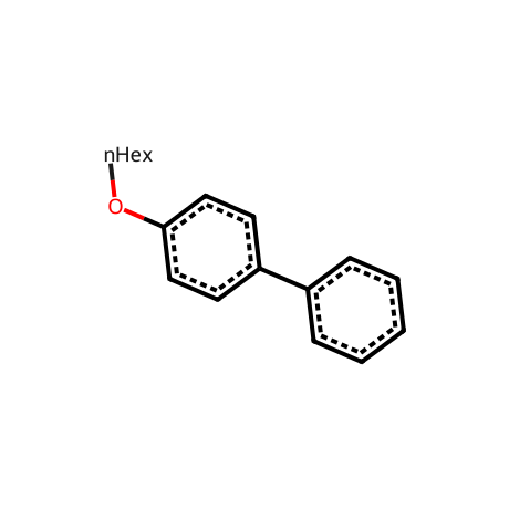 CCCCCCOc1ccc(-c2ccccc2)cc1